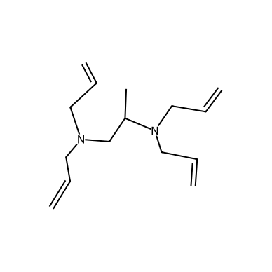 C=CCN(CC=C)CC(C)N(CC=C)CC=C